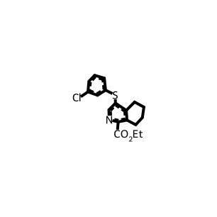 CCOC(=O)c1ncc(Sc2cccc(Cl)c2)c2c1CCCC2